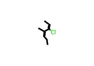 C/C=C(Cl)\C(C)=C/CC